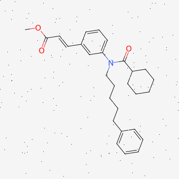 COC(=O)/C=C/c1cccc(N(CCCCCc2ccccc2)C(=O)C2CCCCC2)c1